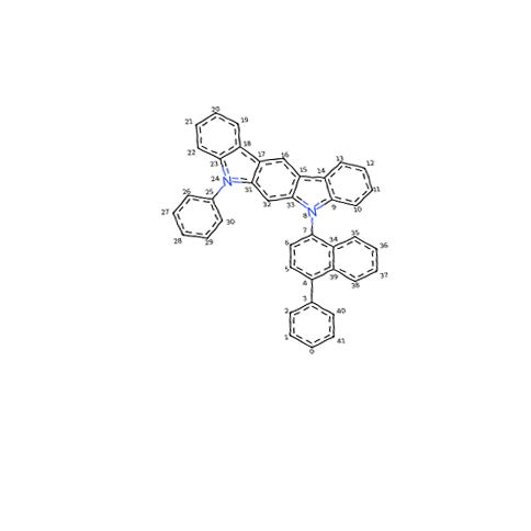 c1ccc(-c2ccc(-n3c4ccccc4c4cc5c6ccccc6n(-c6ccccc6)c5cc43)c3ccccc23)cc1